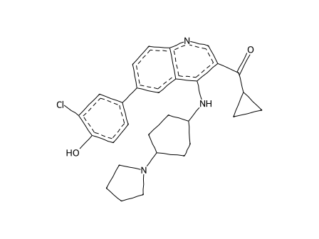 O=C(c1cnc2ccc(-c3ccc(O)c(Cl)c3)cc2c1NC1CCC(N2CCCC2)CC1)C1CC1